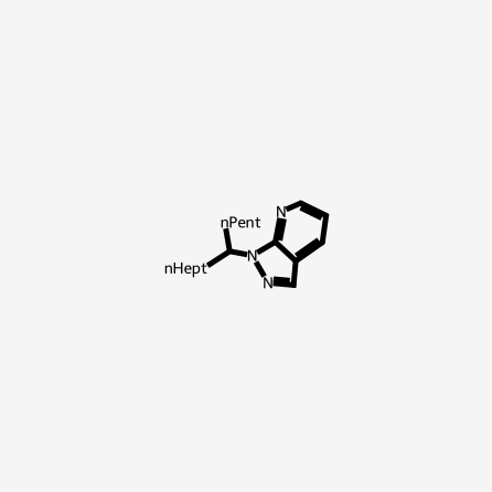 CCCCCCCC(CCCCC)n1ncc2cccnc21